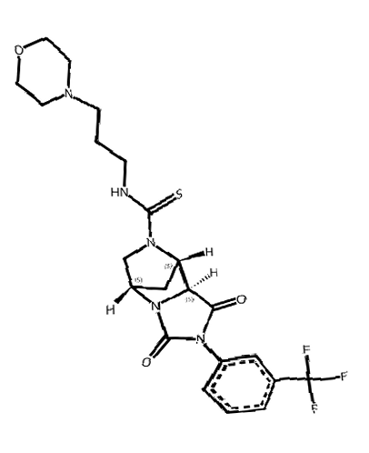 O=C1[C@@H]2[C@@H]3C[C@@H](CN3C(=S)NCCCN3CCOCC3)N2C(=O)N1c1cccc(C(F)(F)F)c1